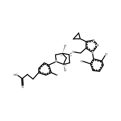 O=C(O)CCc1ccc(N2C[C@@H]3C[C@H]2C[C@H]3OCc2c(C3CC3)nnn2-c2c(Cl)cccc2Cl)c(F)c1